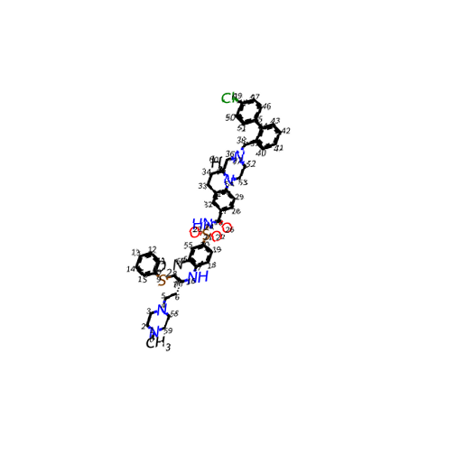 CN1CCN(CC[C@H](CSc2ccccc2)Nc2ccc(S(=O)(=O)NC(=O)c3ccc4c(c3)CC[C@@H]3CN(Cc5ccccc5-c5ccc(Cl)cc5)CCN43)cc2[N+](=O)[O-])CC1